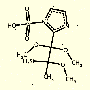 COC(C)([SiH3])C(OC)(OC)c1nccn1S(=O)(=O)O